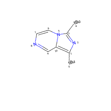 CC(C)(C)c1nc(C(C)(C)C)n2ccncc12